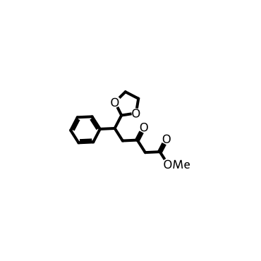 COC(=O)CC(=O)CC(c1ccccc1)C1OCCO1